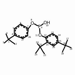 CC(C)(C)c1ccc(OP(O)Oc2ccc(C(C)(C)C)cc2C(C)(C)C)cc1